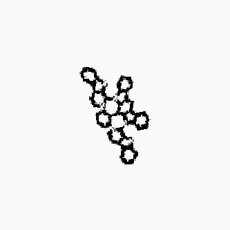 c1ccc(-c2c3c(cc4c5ccccc5n(-c5nccc6c5sc5ccccc56)c24)c2ccccc2n3-c2nccc3c2sc2ccccc23)cc1